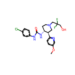 COc1ccc([C@@H]2CN(CC(F)(F)CO)CC[C@H]2NC(=O)Nc2ccc(Cl)cc2)nc1